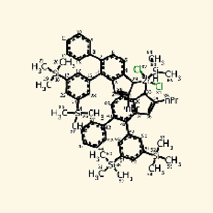 CCCC1=Cc2c(ccc(-c3ccccc3)c2-c2cc([Si](C)(C)C)cc([Si](C)(C)C)c2)[CH]1[Zr]([Cl])([Cl])([CH]1C(CCC)=Cc2c1ccc(-c1ccccc1)c2-c1cc([Si](C)(C)C)cc([Si](C)(C)C)c1)[SiH](C)C